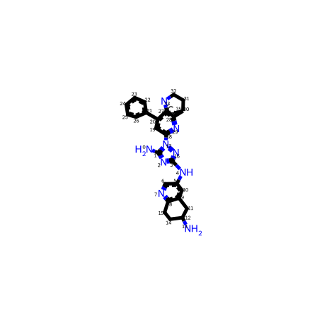 Nc1nc(Nc2cnc3c(c2)CC(N)CC3)nn1-c1cc(-c2ccccc2)c2c(n1)C1CCN2CC1